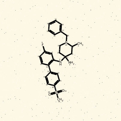 CC1CC(N)(Nc2cc(F)ccc2-c2ccc(S(C)(=O)=O)cc2)CCN1Cc1ccccc1